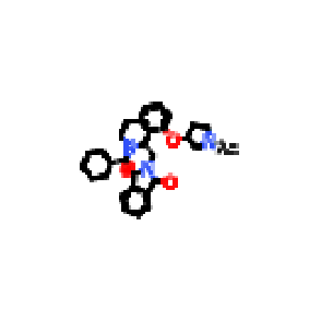 CC(=O)N1CC[C@H](Oc2cccc3c2[C@@H](CN2C(=O)c4ccccc4C2=O)N(C(=O)C2CCCCC2)CC3)C1